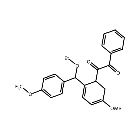 CCOC(C1=CC=C(OC)CC1C(=O)C(=O)c1ccccc1)c1ccc(OC(F)(F)F)cc1